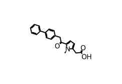 Cn1c(CC(=O)O)ccc1C(=O)Cc1ccc(-c2ccccc2)cc1